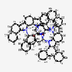 C1=Cc2ccc3c4ccc5c6ccc7ccccc7c6n(-c6ccccc6)c5c4n(-c4cc(-c5ccccc5)cc(-n5c6c7ccccc7c7ccccc7c6c6ccc7c8ccc9ccccc9c8n(-c8ccccc8)c7c65)n4)c3c2CC1